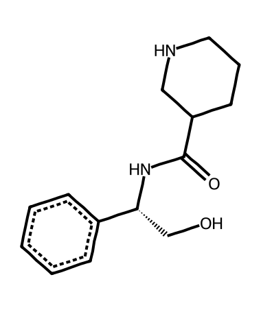 O=C(N[C@H](CO)c1ccccc1)C1CCCNC1